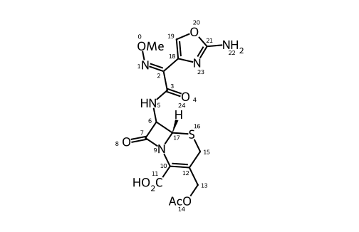 CON=C(C(=O)NC1C(=O)N2C(C(=O)O)=C(COC(C)=O)CS[C@@H]12)c1coc(N)n1